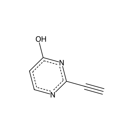 C#Cc1nccc(O)n1